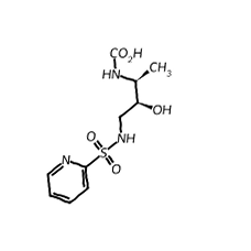 C[C@H](NC(=O)O)[C@@H](O)CNS(=O)(=O)c1ccccn1